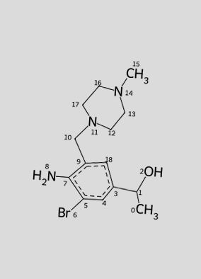 CC(O)c1cc(Br)c(N)c(CN2CCN(C)CC2)c1